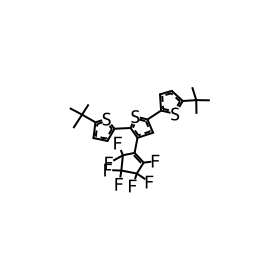 CC(C)(C)c1ccc(-c2cc(C3=C(F)C(F)(F)C(F)(F)C3(F)F)c(-c3ccc(C(C)(C)C)s3)s2)s1